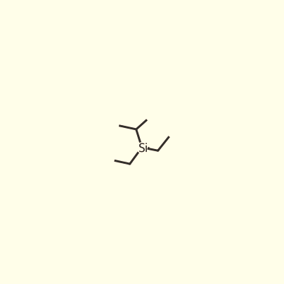 CC[Si](CC)C(C)C